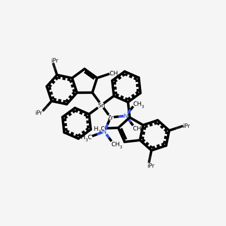 CC1=Cc2c(C(C)C)cc(C(C)C)cc2C1c1cccc[c]1[Sn]([c]1ccccc1)([CH]1C(C)=Cc2c(C(C)C)cc(C(C)C)cc21)[Zr]([N](C)C)[N](C)C